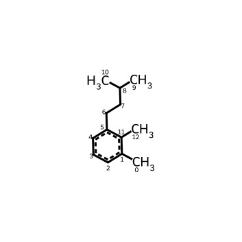 Cc1cccc(CCC(C)C)c1C